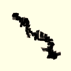 [N-]=[N+]=NC(COc1cccc(C(=O)NCCNC2CCC2)c1)OCCOCC(=O)NCC#Cc1cn([C@H]2CC[C@@H](COP(=O)(O)OP(=O)(O)OP(=O)(O)O)O2)c(=O)nc1N